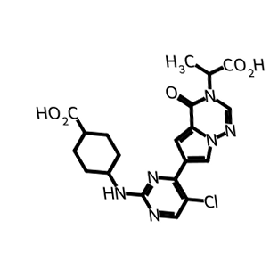 CC(C(=O)O)n1cnn2cc(-c3nc(NC4CCC(C(=O)O)CC4)ncc3Cl)cc2c1=O